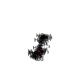 CC(=O)OC12CO[C@@H]1C[C@H](O)[C@@]1(C)C(=O)[C@H](OC(=O)Nc3ccc(/C(C)=N/NC(=O)[C@H](O)[C@H](O)[C@H](O[C@@H]4O[C@H](CO)[C@H](O)C(O)[C@H]4O)[C@H](O)CO)cc3)C3=C(C)[C@@H](OC(=O)[C@H](O)[C@@H](NC(=O)OC(C)(C)C)c4ccccc4)CC(O)([C@@H](OC(=O)c4ccccc4)C21)C3(C)C